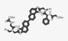 CCCN(Cc1nc2ccc3cc(-c4ccc5c(ccc6nc(CN(CC(C)C)C(=O)CNC(=O)OC)[nH]c65)c4)ccc3c2[nH]1)C(=O)[C@H](NC(=O)COC)c1ccccc1